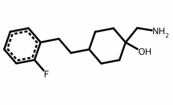 NCC1(O)CCC(CCc2ccccc2F)CC1